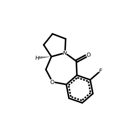 O=C1c2c(F)cccc2OC[C@H]2CCCN12